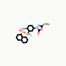 COc1nn(-c2ccc(NS(=O)(=O)c3cccc4ccccc34)c(C)c2)c(=O)o1